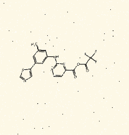 Cc1cc(Nc2nccc(C(=O)OC(=O)C(F)(F)F)n2)cc(-c2cncs2)c1